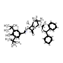 CC(C)(C)c1cc(/C=N/[C@@H]2C(=O)N3[C@@H]2SC(C)(C)[C@@H]3C(=O)OC(c2ccccc2)c2ccccc2)cc(C(C)(C)C)c1O